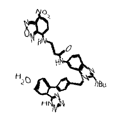 CCCCc1nc2ccc(NC(=O)CCNc3ccc([N+](=O)[O-])c4nonc34)cc2n1Cc1ccc(-c2ccccc2-c2nnn[nH]2)cc1.O